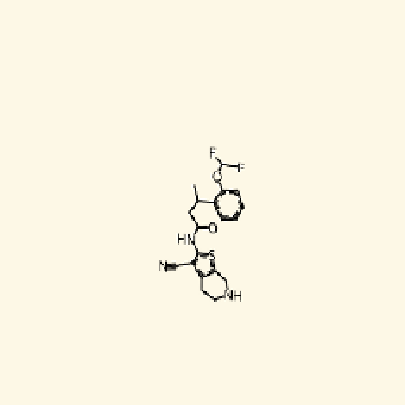 CC(CC(=O)Nc1sc2c(c1C#N)CCNC2)c1ccccc1OC(F)F